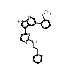 CSc1ccccc1-c1cnc2[nH]cc(-c3ccnc(NCCc4ccccc4)n3)c2c1